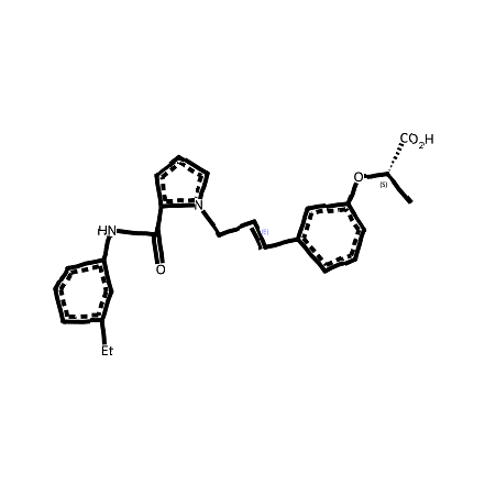 CCc1cccc(NC(=O)c2cccn2C/C=C/c2cccc(O[C@@H](C)C(=O)O)c2)c1